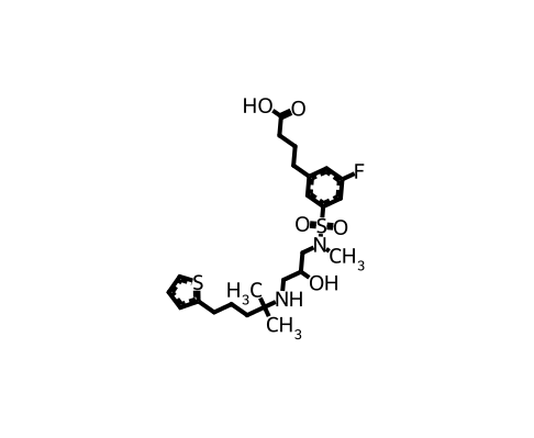 CN(CC(O)CNC(C)(C)CCCc1cccs1)S(=O)(=O)c1cc(F)cc(CCCC(=O)O)c1